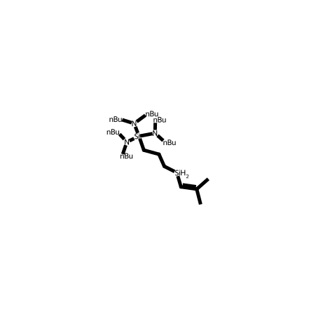 CCCCN(CCCC)[Si](CCC[SiH2]C=C(C)C)(N(CCCC)CCCC)N(CCCC)CCCC